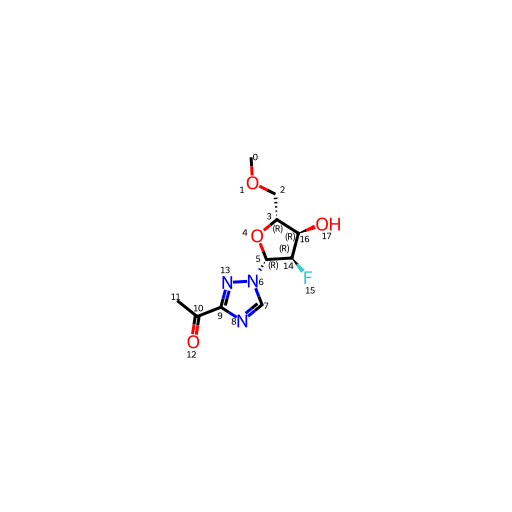 COC[C@H]1O[C@@H](n2cnc(C(C)=O)n2)[C@H](F)[C@@H]1O